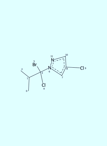 CC(C)C(Cl)(Br)n1cc(Cl)cn1